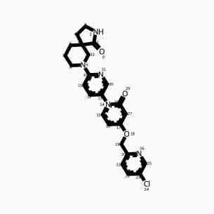 O=C1NCCC12CCCN(c1ccc(-n3ccc(OCc4ccc(Cl)cn4)cc3=O)cn1)C2